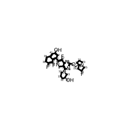 Oc1cc(-c2ncc3c(N4CCC[C@@H](O)C4)nc(OC[C@@]45CCCN4C[C@H](F)C5)nc3c2F)c2c(F)c(F)ccc2c1